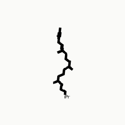 CC#CC/C=C(\C)CCCC(C)CCCC(C)CCCC(C)C